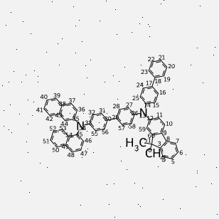 CC1(C)c2ccccc2-c2ccc(N(c3ccc(-c4ccccc4)cc3)c3ccc(-c4ccc(N(c5ccc6ccccc6c5)c5cccc6ccccc56)cc4)cc3)cc21